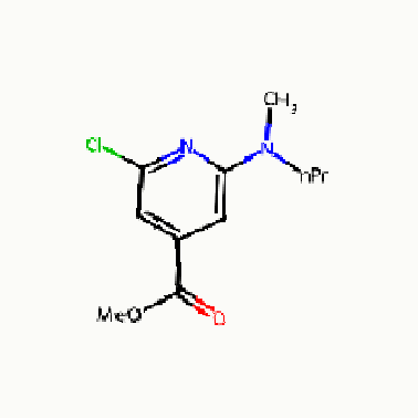 CCCN(C)c1cc(C(=O)OC)cc(Cl)n1